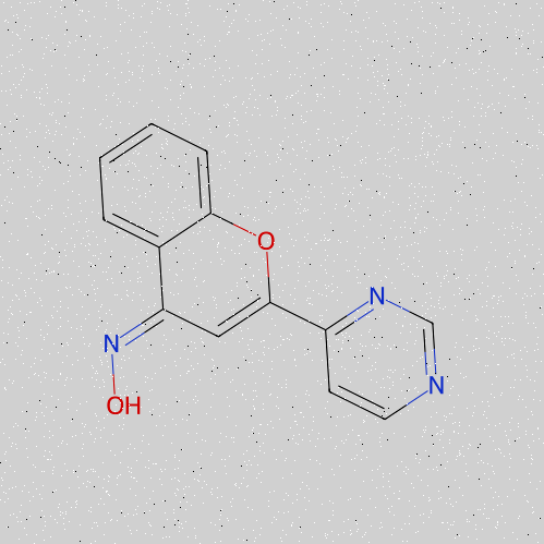 ON=c1cc(-c2ccncn2)oc2ccccc12